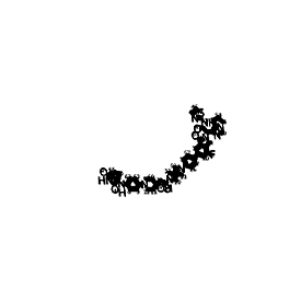 O=C1NC(=O)C2(Nc3ccc(N4CCC(O)(CC(=O)N5CC6(C5)CN(c5ccc(-c7cc(F)c8c(c7)C(=O)N(C(C(=O)Nc7nccs7)c7ncn9c7CCC9)C8)cc5)C6)CC4)cc3)CC1C2